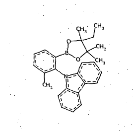 CCC1(C)OB(c2cccc(C)c2-n2c3ccccc3c3ccccc32)OC1(C)C